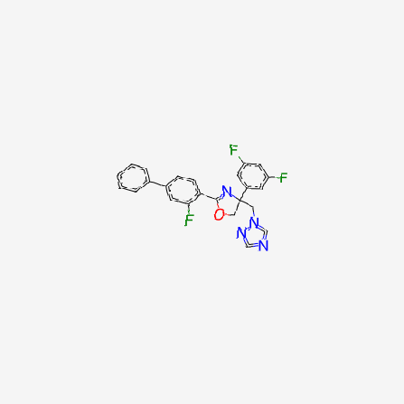 Fc1cc(F)cc(C2(Cn3cncn3)COC(c3ccc(-c4ccccc4)cc3F)=N2)c1